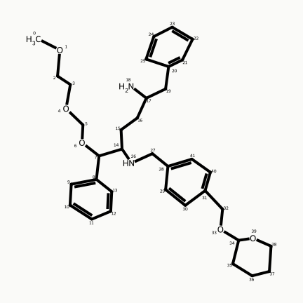 COCCOCOC(c1ccccc1)C(CCC(N)Cc1ccccc1)NCc1ccc(COC2CCCCO2)cc1